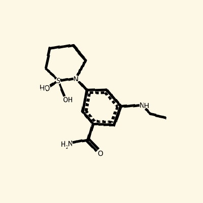 CCNc1cc(C(N)=O)cc(N2CCCCS2(O)O)c1